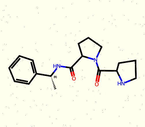 C[C@@H](NC(=O)C1CCCN1C(=O)C1CCCN1)c1ccccc1